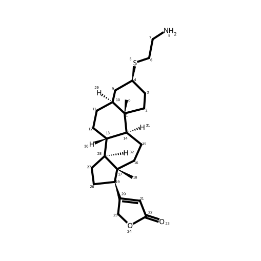 C[C@]12CC[C@H](SCCN)C[C@@H]1CC[C@@H]1[C@@H]2CC[C@]2(C)[C@@H](C3=CC(=O)OC3)CC[C@@H]12